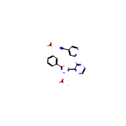 N#Cc1ccncc1.Nc1nccnc1-c1nnc(-c2ccccc2)o1.O=C(O)O.O=C(O)O